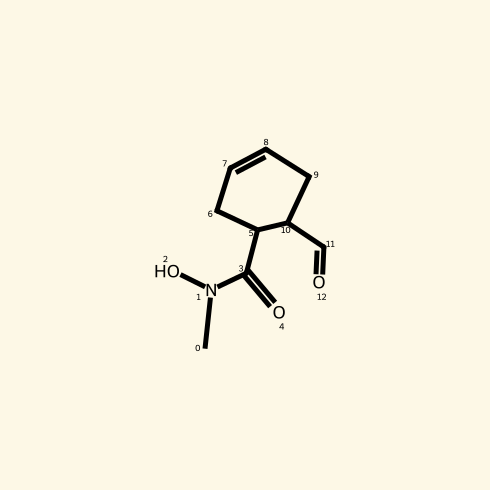 CN(O)C(=O)C1CC=CCC1C=O